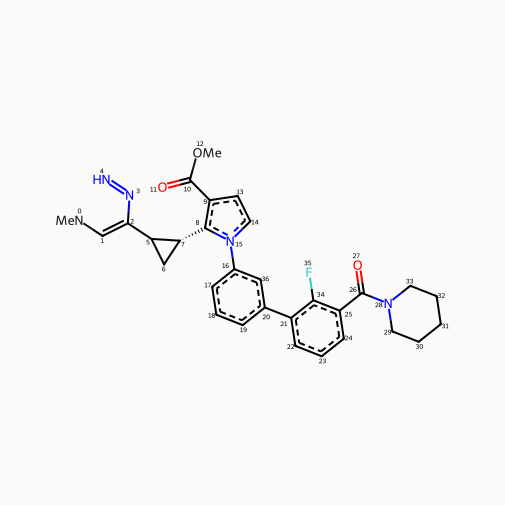 CN/C=C(\N=N)C1C[C@H]1c1c(C(=O)OC)ccn1-c1cccc(-c2cccc(C(=O)N3CCCCC3)c2F)c1